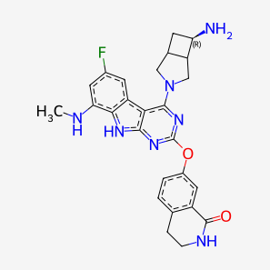 CNc1cc(F)cc2c1[nH]c1nc(Oc3ccc4c(c3)C(=O)NCC4)nc(N3CC4C[C@@H](N)C4C3)c12